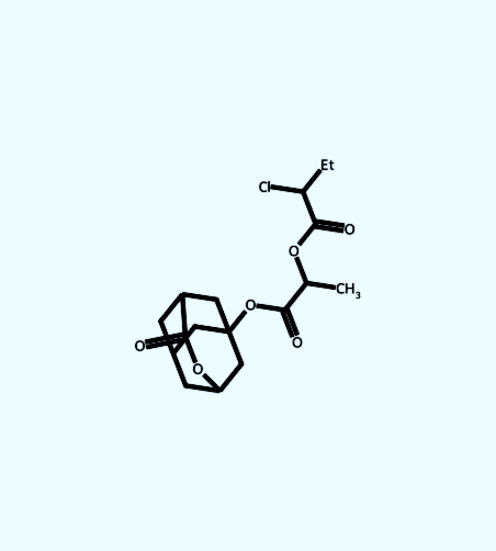 CCC(Cl)C(=O)OC(C)C(=O)OC12CC3CC(C1)OC(=O)C(C3)C2